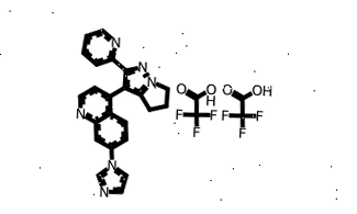 O=C(O)C(F)(F)F.O=C(O)C(F)(F)F.c1ccc(-c2nn3c(c2-c2ccnc4cc(-n5ccnc5)ccc24)CCC3)nc1